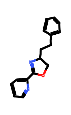 c1ccc(CCC2COC(c3ccccn3)=N2)cc1